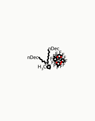 CCCCCCCCCCCCCCCCCCN(CCCCCCCCCCCCCCCC)c1ccccc1C.Fc1c(F)c(F)c([B-](c2c(F)c(F)c(F)c(F)c2F)(c2c(F)c(F)c(F)c(F)c2F)c2c(F)c(F)c(F)c(F)c2F)c(F)c1F